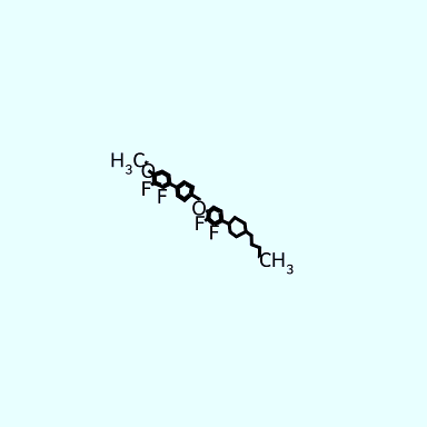 CCCCCC1CCC(c2ccc(OCc3ccc(-c4ccc(OCC)c(F)c4F)cc3)c(F)c2F)CC1